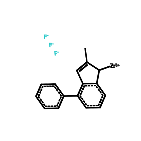 CC1=Cc2c(-c3ccccc3)cccc2[CH]1[Zr+3].[F-].[F-].[F-]